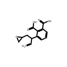 C=CC(CC1CO1)c1cccc(C(=O)O)c1C(=O)O